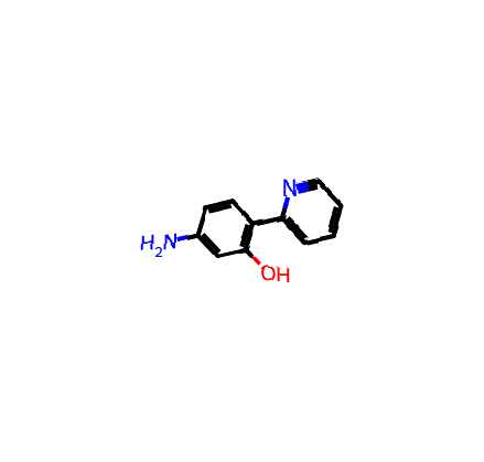 Nc1ccc(-c2ccccn2)c(O)c1